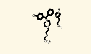 NCCc1c[nH]cn1.O=C(O)COCCN1CCN(C(c2ccccc2)c2ccc(Cl)cc2)CC1